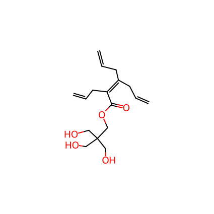 C=CCC(CC=C)=C(CC=C)C(=O)OCC(CO)(CO)CO